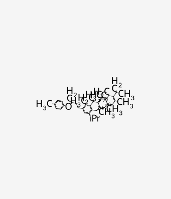 C=C(CCc1cc(C(C)C)c2c(c1C)C(=C)C1=C(C)[C@@]3(C)C(=C)C(C(=C)C)=C(C)C[C@@]3(C)C[C@@]1(C)C2)Oc1ccc(C)cc1